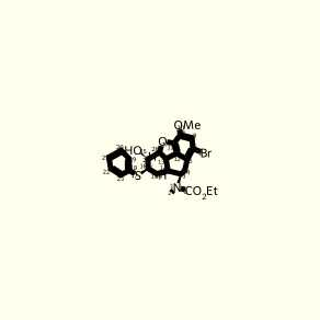 CCOC(=O)N(C)[C@@H]1Cc2c(Br)cc(OC)c3c2C2[C@H]1C[C@@H](Sc1ccccc1)[C@H](O)[C@@H]2O3